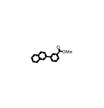 COC(=O)c1cccc(-c2ccc3ccccc3c2)c1